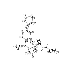 CCCNS(=O)(=O)C(C)C(C)c1ccc(-c2ccsc2)cc1